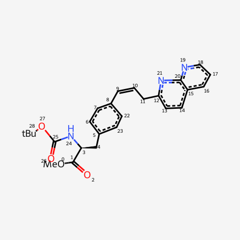 COC(=O)[C@H](Cc1ccc(/C=C\Cc2ccc3cccnc3n2)cc1)NC(=O)OC(C)(C)C